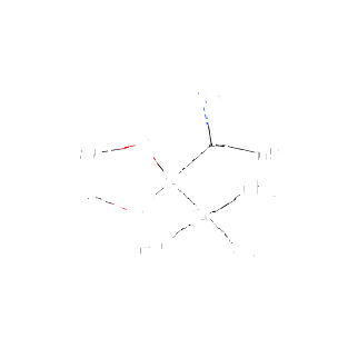 CCCC(N)[Si](OCC)(OCC)[Si](C)(C)C